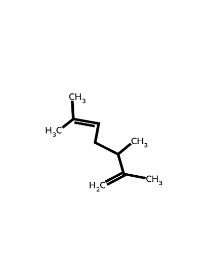 C=C(C)C(C)CC=C(C)C